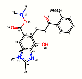 COc1ccccc1C(=O)CCc1c(C(=O)ON(C)C)cc2c(nc(C)n2C)c1O